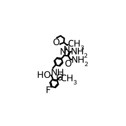 COc1ccc(F)cc1C(O)NCc1ccc(-c2nn(C(C)C3CCCOC3)c(N)c2C(N)=O)cc1